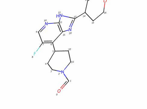 O=CN1CCC(c2c(F)cnc3[nH]c(C4CCOCC4)nc23)CC1